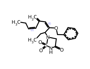 C=C(/C=C\CC)/C=C(/OCc1ccccc1)C(CC)N1CC(=O)NS1(=O)=O